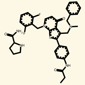 CCC(=O)Nc1ccc(-c2sc3c(c2CN(C)Cc2ccccc2)c(=O)ccn3Cc2c(F)cccc2F)cc1.NC(=O)C1CCCN1